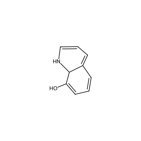 OC1=CC=CC2=CC=CNC12